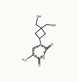 Cc1cn(C2CC(CO)(CO)C2)c(=O)[nH]c1=O